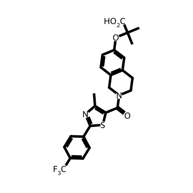 Cc1nc(-c2ccc(C(F)(F)F)cc2)sc1C(=O)N1CCc2cc(OC(C)(C)C(=O)O)ccc2C1